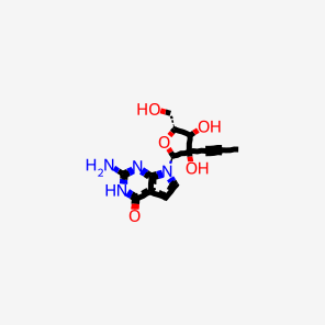 CC#CC1(O)C(O)[C@@H](CO)O[C@H]1n1ccc2c(=O)[nH]c(N)nc21